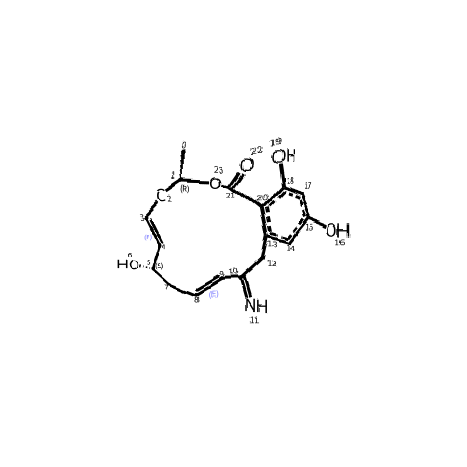 C[C@@H]1C/C=C/[C@@H](O)C/C=C/C(=N)Cc2cc(O)cc(O)c2C(=O)O1